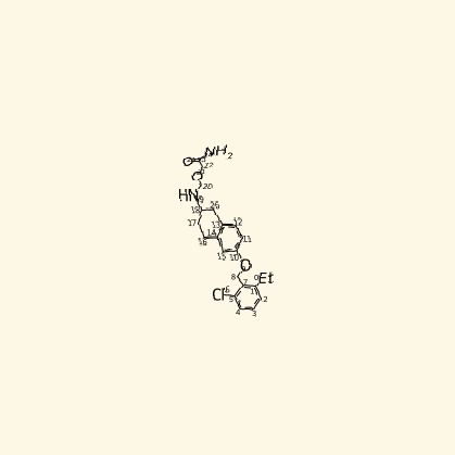 CCc1cccc(Cl)c1COc1ccc2c(c1)CCC(NCOCC(N)=O)C2